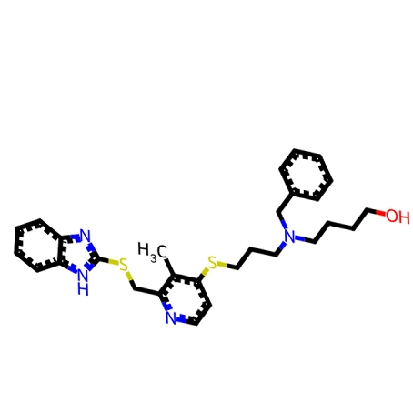 Cc1c(SCCCN(CCCCO)Cc2ccccc2)ccnc1CSc1nc2ccccc2[nH]1